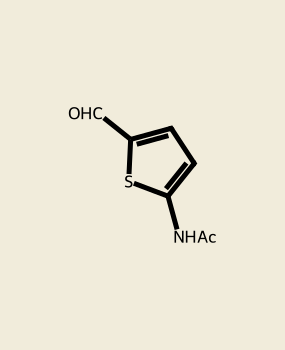 CC(=O)Nc1ccc(C=O)s1